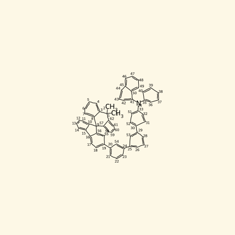 CC1(C)c2ccccc2C2(c3ccccc3-c3ccc(-c4cccc(-c5cccc(-c6ccc(N(c7ccccc7)c7cccc8ccccc78)cc6)c5)c4)cc32)c2ccccc21